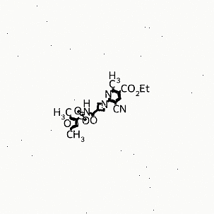 CCOC(=O)c1cc(C#N)c(N2CC(C(=O)NS(=O)(=O)c3cc(C)oc3C)C2)nc1C